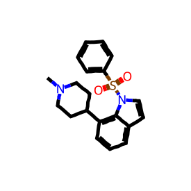 CN1CCC(c2cccc3ccn(S(=O)(=O)c4ccccc4)c23)CC1